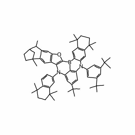 CC1c2cc3oc4c(c3cc2C2(C)CCC1C2)N(c1ccc2c(c1)C(C)(C)CCC2(C)C)c1cc(C(C)(C)C)cc2c1B4c1cc3c(cc1N2c1cc(C(C)(C)C)cc(C(C)(C)C)c1)C(C)(C)CCC3(C)C